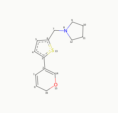 C1=CC(c2ccc(CN3CCCC3)s2)=COC1